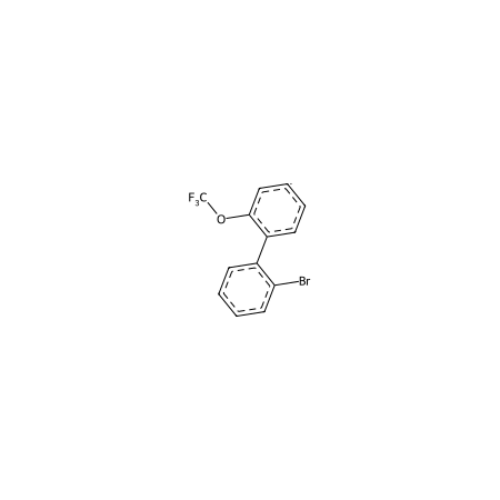 FC(F)(F)Oc1c[c]ccc1-c1ccccc1Br